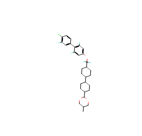 CC1COC(C2CCC(C3CCC(C(F)(F)Oc4cc(F)c(-c5ccc(Cl)c(F)c5)c(F)c4)CC3)CC2)OC1